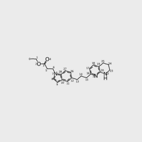 CCOC(=O)CCn1ccc2cc(CCCc3ccc4c(n3)NCCC4)ccc21